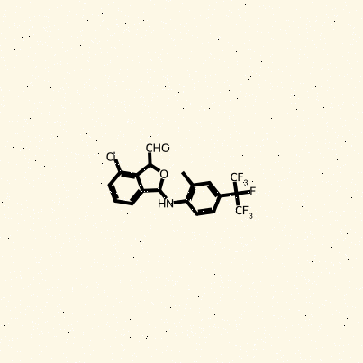 Cc1cc(C(F)(C(F)(F)F)C(F)(F)F)ccc1NC1OC(C=O)c2c(Cl)cccc21